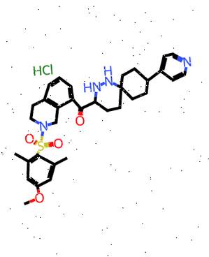 COc1cc(C)c(S(=O)(=O)N2CCc3cccc(C(=O)C4CCC5(CCC(c6ccncc6)CC5)NN4)c3C2)c(C)c1.Cl